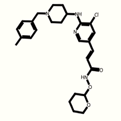 Cc1ccc(CN2CCC(Nc3ncc(C=CC(=O)NOC4CCCCO4)cc3Cl)CC2)cc1